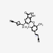 Cc1cc(/C=C/C#N)cc(C)c1Oc1nc(NC23CC(C#N)(C2)C3)nc2c(=O)[nH][nH]c12